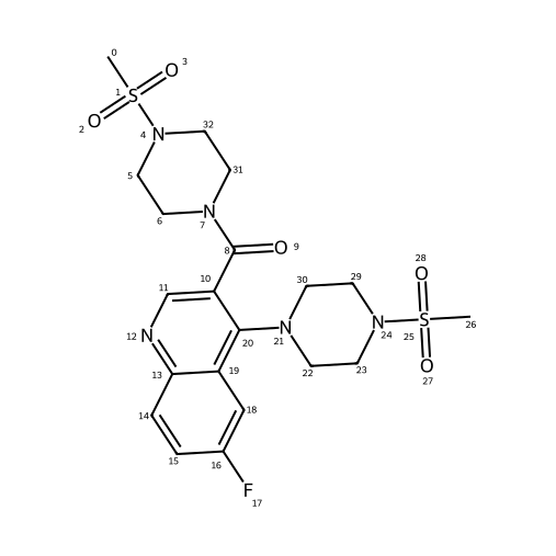 CS(=O)(=O)N1CCN(C(=O)c2cnc3ccc(F)cc3c2N2CCN(S(C)(=O)=O)CC2)CC1